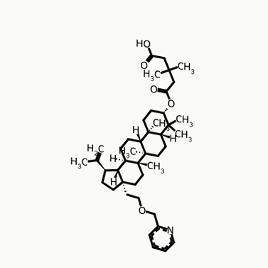 C=C(C)[C@@H]1CC[C@]2(CCOCc3ccccn3)CC[C@]3(C)[C@H](CC[C@@H]4[C@@]5(C)CC[C@H](OC(=O)CC(C)(C)CC(=O)O)C(C)(C)[C@@H]5CC[C@]43C)[C@@H]12